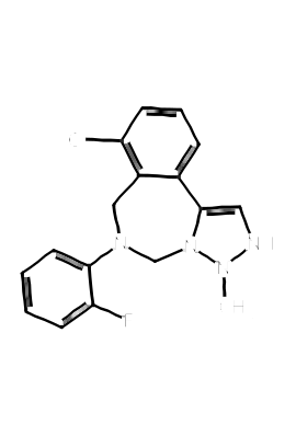 CN1NC=C2c3cccc(Cl)c3CN(c3ccccc3F)CN21